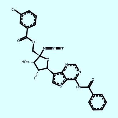 [N-]=[N+]=N[C@]1(COC(=O)c2cccc(Cl)c2)O[C@@H](c2csc3c(NC(=O)c4ccccc4)ncnc23)[C@H](F)[C@@H]1O